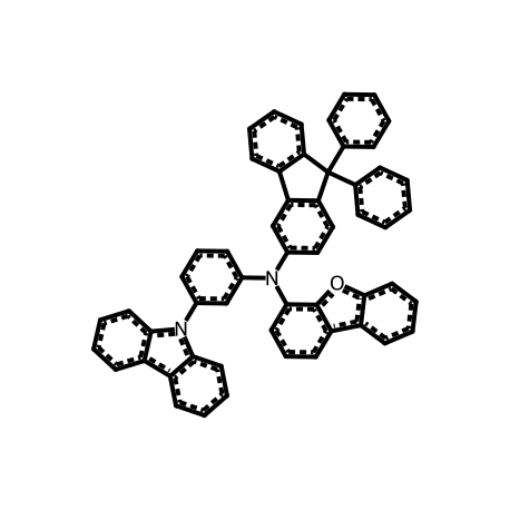 c1ccc(C2(c3ccccc3)c3ccccc3-c3cc(N(c4cccc(-n5c6ccccc6c6ccccc65)c4)c4cccc5c4oc4ccccc45)ccc32)cc1